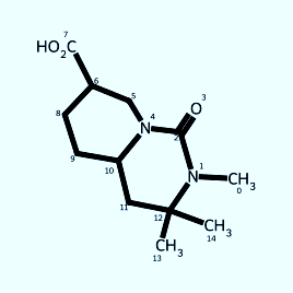 CN1C(=O)N2CC(C(=O)O)CCC2CC1(C)C